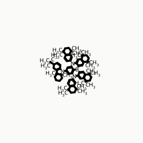 CC1(C)CCC(C)(C)c2cc(N3c4cc5c(cc4B4c6cc7c(cc6N(c6ccc8c(c6)C(C)(C)CCC8(C)C)c6cc(N8C9=C(CC(C(C)(C)C)C=C9)C9(C)CCCCC89C)cc3c64)C(C)(C)CCC7(C)C)C(C)(C)CCC5(C)C)ccc21